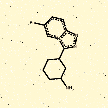 NC1CCCC(c2nnc3ccc(Br)cn23)C1